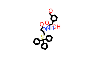 O=Cc1cccc(C(O)C(=O)NN2C(=O)CC2CSC(c2ccccc2)(c2ccccc2)c2ccccc2)c1